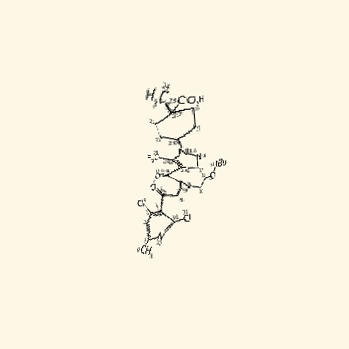 Cc1cc(Cl)c(C(=O)CN(CCOC(C)(C)C)C(=O)c2cnn(C3CCC(C)(C(=O)O)CC3)c2C(F)(F)F)c(Cl)n1